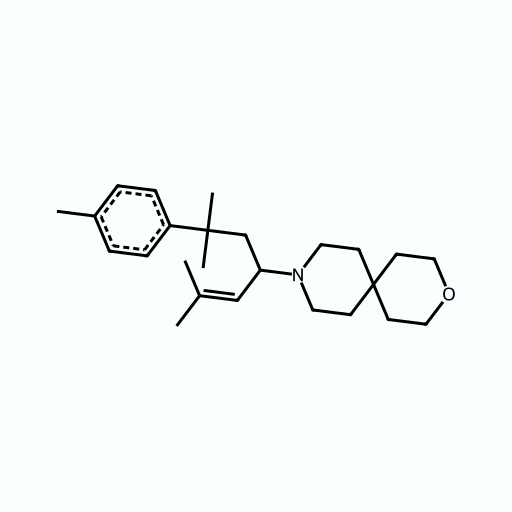 CC(C)=CC(CC(C)(C)c1ccc(C)cc1)N1CCC2(CCOCC2)CC1